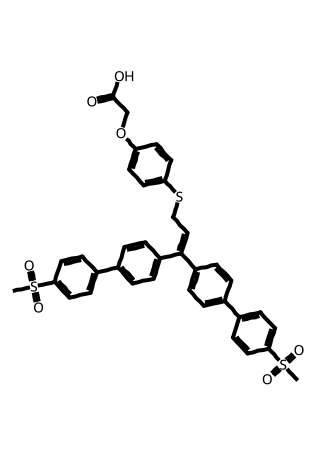 CS(=O)(=O)c1ccc(-c2ccc(C(=CCSc3ccc(OCC(=O)O)cc3)c3ccc(-c4ccc(S(C)(=O)=O)cc4)cc3)cc2)cc1